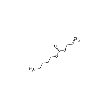 C=CCOS(=O)OCCCCC